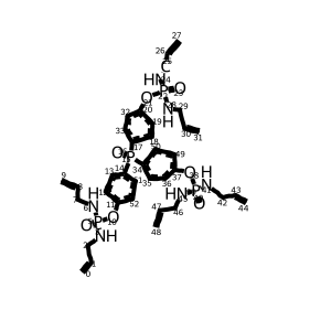 C=CCNP(=O)(NCC=C)Oc1ccc(P(=O)(c2ccc(OP(=O)(NCC=C)NCC=C)cc2)c2ccc(OP(=O)(NCC=C)NCC=C)cc2)cc1